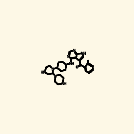 Cc1ccccc1C(=O)c1c[nH]c2ncnc(NC3CCC(N4CCNCC4N4CCNCC4)CC3)c12